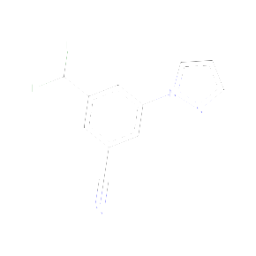 N#Cc1cc(C(F)F)cc(-n2cccn2)c1